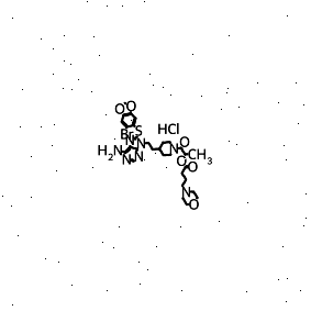 CC(OC(=O)CCCN1CCOCC1)C(=O)N1CCC(CCn2c(Sc3cc4c(cc3Br)OCO4)nc3c(N)ncnc32)CC1.Cl